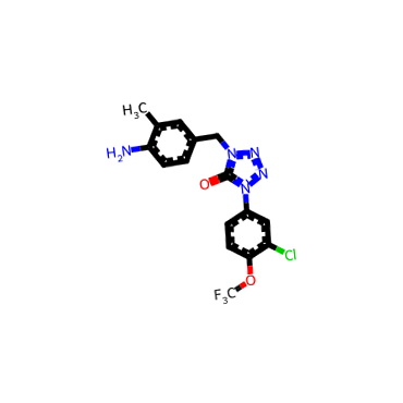 Cc1cc(Cn2nnn(-c3ccc(OC(F)(F)F)c(Cl)c3)c2=O)ccc1N